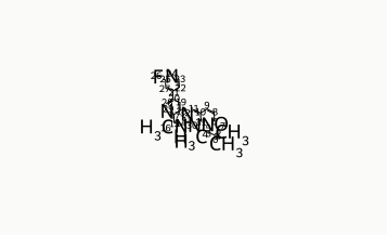 CC(C)[C@H](C)n1c(=O)ccc2cnc(N[C@@H](C)c3ccc(-c4ccnc(F)c4)cn3)nc21